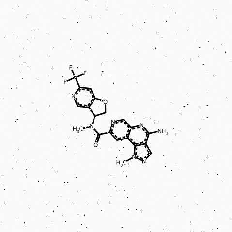 CN(C(=O)c1cc2c(cn1)nc(N)c1cnn(C)c12)[C@@H]1COc2cc(C(F)(F)F)ncc21